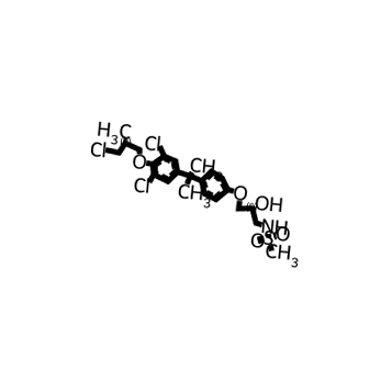 C[C@@H](CCl)COc1c(Cl)cc(C(C)(C)c2ccc(OC[C@@H](O)CNS(C)(=O)=O)cc2)cc1Cl